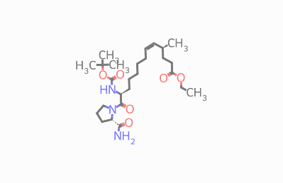 CCOC(=O)CC[C@H](C)/C=C\CCCCC[C@H](NC(=O)OC(C)(C)C)C(=O)N1CCC[C@H]1C(N)=O